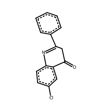 O=C1CC(c2ccccc2)=Nc2ccc(Cl)cc21